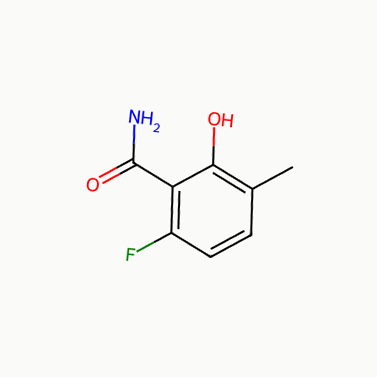 Cc1ccc(F)c(C(N)=O)c1O